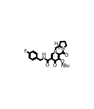 CCCCOc1c2n(cc(C(=O)NCc3ccc(F)cc3)c1=O)C[C@H]1CCCN1C2=O